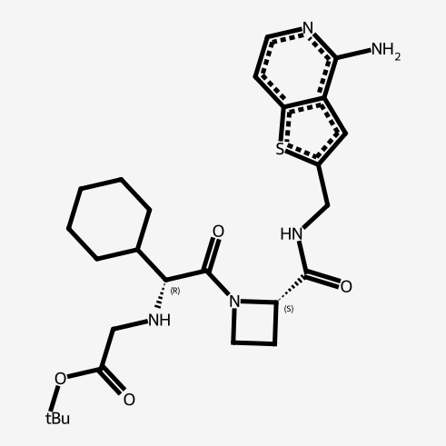 CC(C)(C)OC(=O)CN[C@@H](C(=O)N1CC[C@H]1C(=O)NCc1cc2c(N)nccc2s1)C1CCCCC1